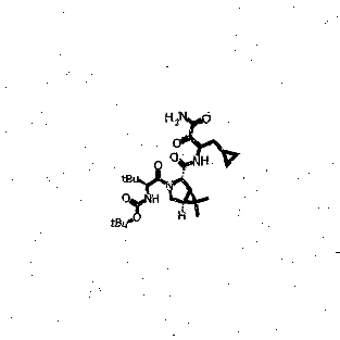 CC(C)(C)OC(=O)N[C@H](C(=O)N1C[C@H]2C([C@H]1C(=O)NC(CC1CC1)C(=O)C(N)=O)C2(C)C)C(C)(C)C